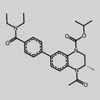 CCN(CC)C(=O)c1ccc(-c2ccc3c(c2)N(C(=O)OC(C)C)C[C@H](C)N3C(C)=O)cc1